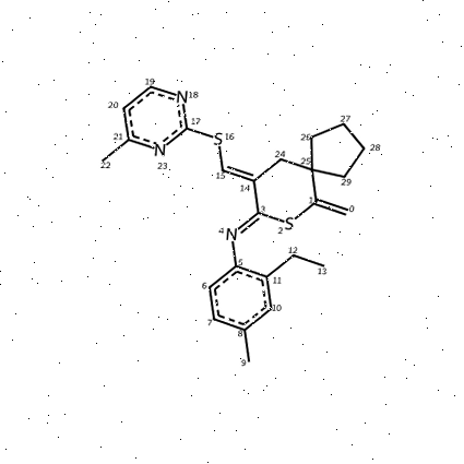 C=C1SC(=N\c2ccc(C)cc2CC)/C(=C/Sc2nccc(C)n2)CC12CCCC2